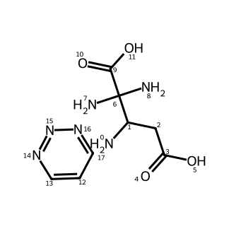 NC(CC(=O)O)C(N)(N)C(=O)O.c1cnnnc1